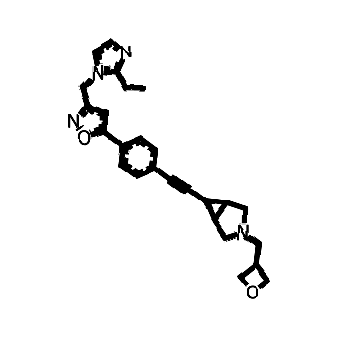 CCc1nccn1Cc1cc(-c2ccc(C#CC3C4CN(CC5COC5)CC34)cc2)on1